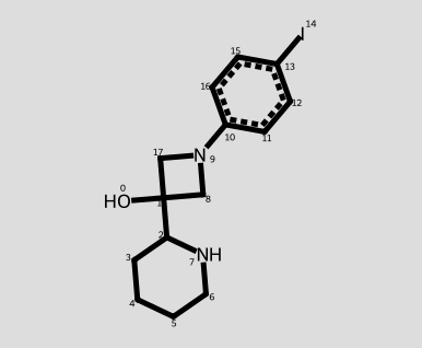 OC1(C2CCCCN2)CN(c2ccc(I)cc2)C1